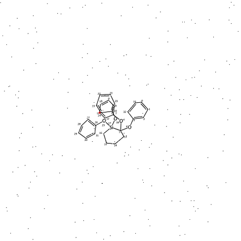 c1ccc(OC2(Oc3ccccc3)CCCC[Si]2(Oc2ccccc2)Oc2ccccc2)cc1